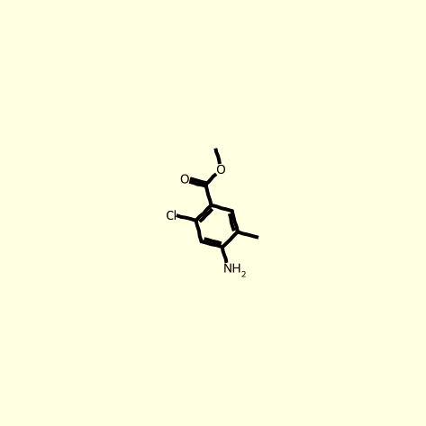 COC(=O)c1cc(C)c(N)cc1Cl